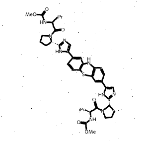 COC(=O)NC(C(=O)N1CCC[C@H]1c1ncc(-c2ccc3c(c2)Nc2ccc(-c4cnc([C@@H]5CCCN5C(=O)[C@@H](NC(=O)OC)C(C)C)[nH]4)cc2S3)[nH]1)C(C)C